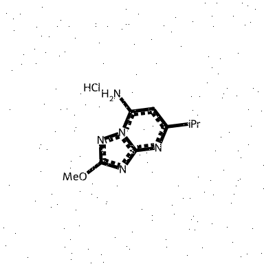 COc1nc2nc(C(C)C)cc(N)n2n1.Cl